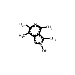 Cc1nc(C)c2c(C)n(O)nc2c1C